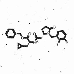 O=C(C[C@@H]1CCC(=O)N1Cc1cccc(F)c1F)N[C@@H](CC1CC1)C(=O)OCc1ccccc1